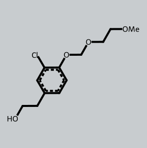 COCCOCOc1ccc(CCO)cc1Cl